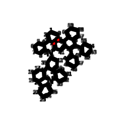 c1ccc(-c2ccccc2N(c2cccc(-c3cccc4c5ccccc5n(-c5ccccc5)c34)c2)c2ccc3c(c2)c(-c2ccccc2)c(-c2ccccc2)c2ccccc23)cc1